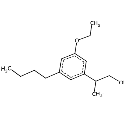 [CH2]C(CO)c1cc(CCCC)cc(OCC)c1